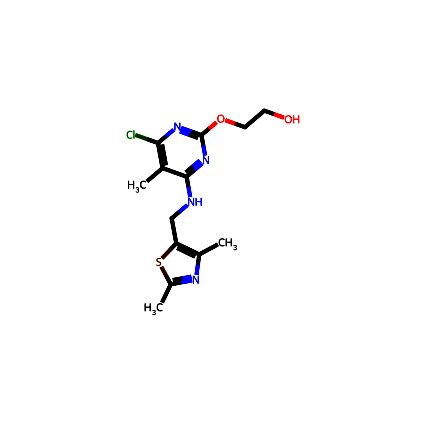 Cc1nc(C)c(CNc2nc(OCCO)nc(Cl)c2C)s1